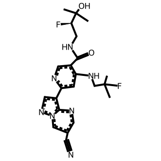 CC(C)(F)CNc1cc(-c2cnn3cc(C#N)cnc23)ncc1C(=O)NC[C@@H](F)C(C)(C)O